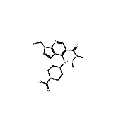 CCn1ncc2c(NC3CCN(C(=O)O)CC3)c(C(=O)N(C)OC)cnc21